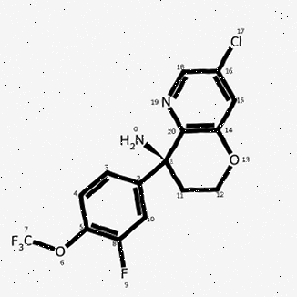 N[C@]1(c2ccc(OC(F)(F)F)c(F)c2)CCOc2cc(Cl)cnc21